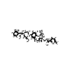 O=C(NC[C@@H]1OC(=O)N2c3ccc(N4CCN(S(=O)(=O)c5ccccc5)CC4=O)cc3OC[C@@H]12)c1ccc(Cl)s1